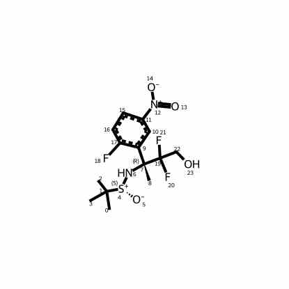 CC(C)(C)[S@@+]([O-])N[C@](C)(c1cc([N+](=O)[O-])ccc1F)C(F)(F)CO